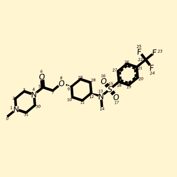 CN1CCN(C(=O)CO[C@H]2CC[C@H](N(C)S(=O)(=O)c3ccc(C(F)(F)F)cc3)CC2)CC1